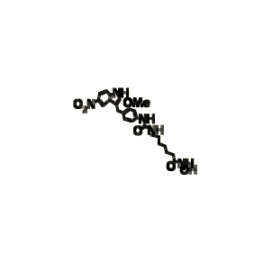 COc1cc(NC(=O)NCCCCCCC(=O)NO)ccc1Cc1c[nH]c2ccc([N+](=O)[O-])cc12